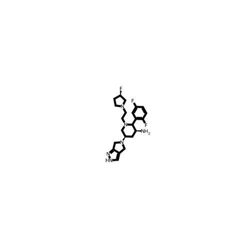 N[C@H]1C[C@@H](N2Cc3c[nH]nc3C2)CN(CCN2CC[C@@H](F)C2)C1c1cc(F)ccc1F